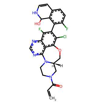 C=CC(=O)N1CCN2c3ncnc4c(F)c(-c5c(F)ccc6c5C(O)NC=C6)c(Cl)c(c34)OC[C@@H]2C1